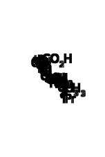 CC(C)CCC[C@@H](C)C1CC[C@H]2[C@@H]3CC=C4C[C@@H](OC(=O)CN(CC(=O)OC(C)(C)C)C(=O)CCC(=O)O)CC[C@]4(C)[C@H]3CC[C@]12C